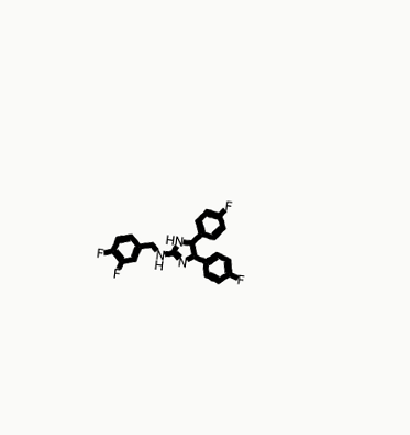 Fc1ccc(C2N=C(NCc3ccc(F)c(F)c3)NC2c2ccc(F)cc2)cc1